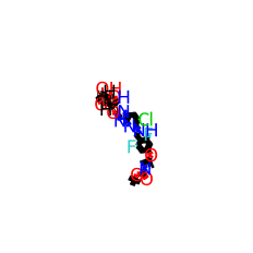 CC(C)(C)OC(=O)N1CC(Oc2cc(F)c(CNc3nc4nc(O[C@@H]5CO[C@H]6[C@@H]5OC[C@H]6O)[nH]c4cc3Cl)c(F)c2)C1